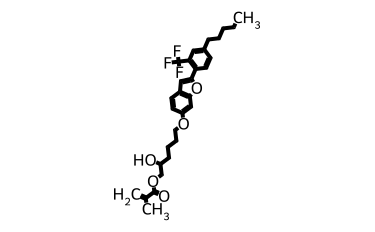 C=C(C)C(=O)OCC(O)CCCCOc1ccc2cc(-c3ccc(CCCCC)cc3C(F)(F)F)oc2c1